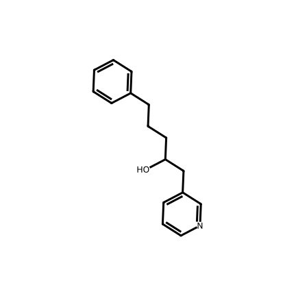 OC(CCCc1ccccc1)Cc1cccnc1